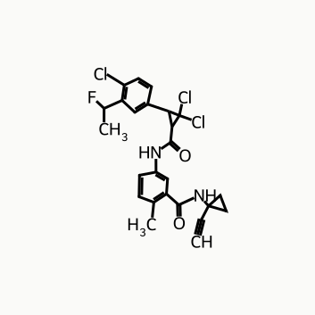 C#CC1(NC(=O)c2cc(NC(=O)C3C(c4ccc(Cl)c(C(C)F)c4)C3(Cl)Cl)ccc2C)CC1